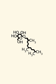 CC(=CCOC1OC(CO)C(O)C(O)C1O)CCCC(C)CCCC(C)C